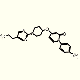 CCCc1cnc(N2CCC(Oc3ccn(-c4ccc(N)cc4)c(=O)c3)CC2)nc1